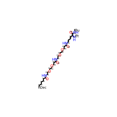 CCCCCCCCCCCCCCCC(=O)NCCOCCOCCC(=O)NCCOCCOCCC(=O)NCCCCC(NCC)C(=O)NC(C)(C)C